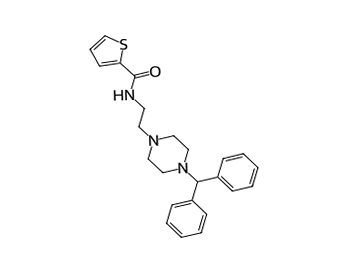 O=C(NCCN1CCN(C(c2ccccc2)c2ccccc2)CC1)c1cccs1